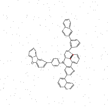 c1ccc(-c2ccc(-c3cccc4ccccc34)cc2N(c2ccc(-c3cccc(-c4ccc5ccccc5c4)c3)cc2)c2ccc(-c3ccc4oc5ccccc5c4c3)cc2)cc1